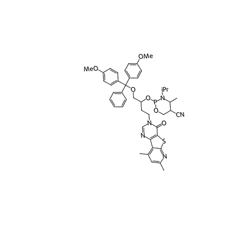 COc1ccc(C(OCC(CCn2cnc3c(sc4nc(C)cc(C)c43)c2=O)OP2OCC(C#N)C(C)N2C(C)C)(c2ccccc2)c2ccc(OC)cc2)cc1